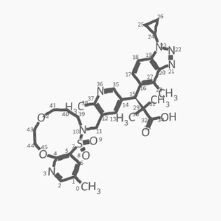 Cc1cnc2c(c1)S(=O)(=O)N(Cc1cc([C@@H](c3ccc4c(nnn4C4CC4)c3C)C(C)(C)C(=O)O)cnc1C)CCCOCCO2